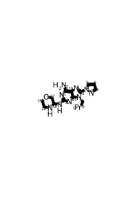 CC(C)Cn1c(-n2cccn2)nc2c(N)nc(NC3COCCN3)nc21